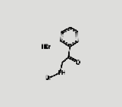 Br.O=C(CPBr)c1ccccc1